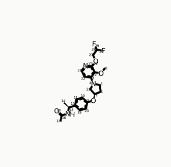 COc1c(N2CC[C@@H](Oc3ccc([C@H](C)NC(C)=O)cc3)C2)ccnc1OCC(F)F